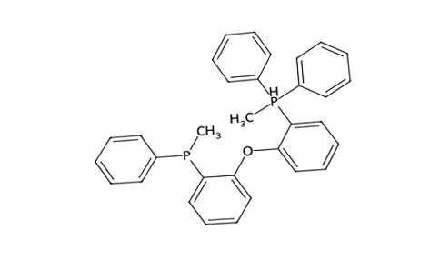 CP(c1ccccc1)c1ccccc1Oc1ccccc1[PH](C)(c1ccccc1)c1ccccc1